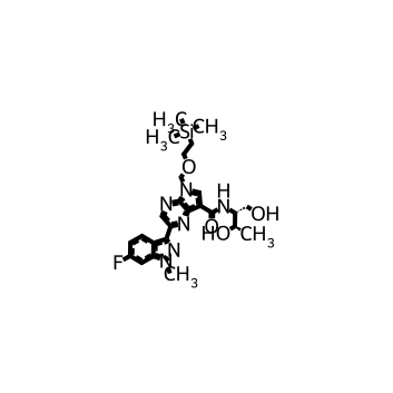 C[C@@H](O)[C@@H](CO)NC(=O)c1cn(COCC[Si](C)(C)C)c2ncc(-c3nn(C)c4cc(F)ccc34)nc12